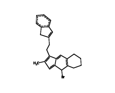 CC1=C(CCC2=Cc3ccccc3C2)C2=CC3=C(CCCC3)C(Br)C2=C1